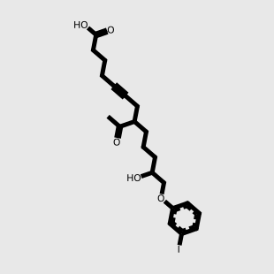 CC(=O)C(CC#CCCCC(=O)O)CCCC(O)COc1cccc(I)c1